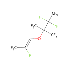 FC(=COC(C(F)(F)F)(C(F)(F)F)C(F)(F)C(F)(F)F)C(F)(F)F